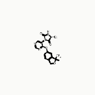 CC[C@H]1NC(=O)N(c2cncnc2Oc2ccc3c(c2)C(C)(C(F)(F)F)OC3)C1=O